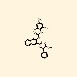 Cc1cc(C)c(NC(=O)Nc2cc3ccccc3cc2C(=O)NC(C(=O)O)c2ccccc2)c(C)c1